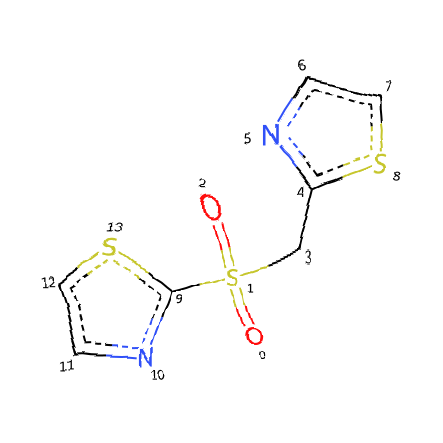 O=S(=O)(Cc1nccs1)c1nccs1